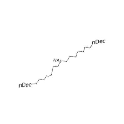 CCCCCCCCCCCCCCCCC[AsH]CCCCCCCCCCCCCCCCC